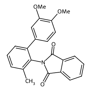 COc1ccc(-c2cccc(C)c2N2C(=O)c3ccccc3C2=O)cc1OC